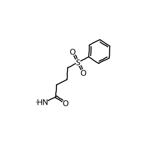 [NH]C(=O)CCCS(=O)(=O)c1ccccc1